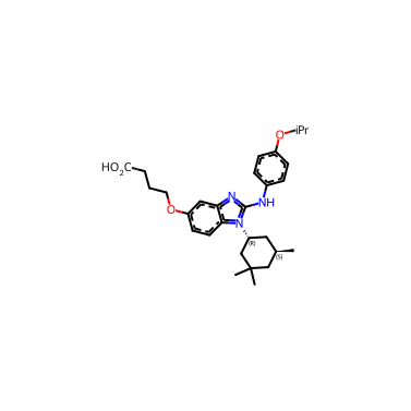 CC(C)Oc1ccc(Nc2nc3cc(OCCCC(=O)O)ccc3n2[C@@H]2C[C@@H](C)CC(C)(C)C2)cc1